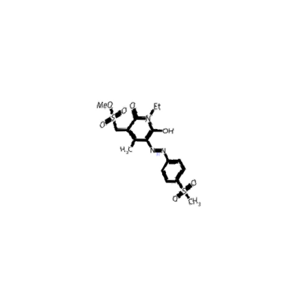 CCn1c(O)c(/N=N/c2ccc(S(C)(=O)=O)cc2)c(C)c(CS(=O)(=O)OC)c1=O